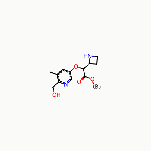 Cc1cc(OC(C(=O)OC(C)(C)C)[C@@H]2CCN2)cnc1CO